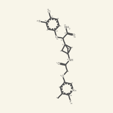 Cc1cc(OCC(=O)NC23CC(C(Oc4ccc(Cl)c(F)c4)C(N)=O)(C2)C3)cnc1F